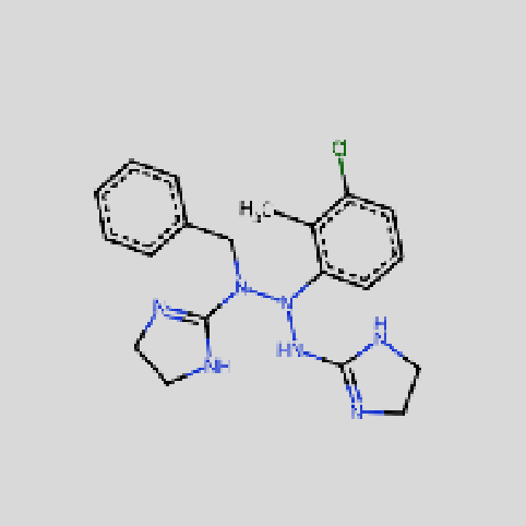 Cc1c(Cl)cccc1N(NC1=NCCN1)N(Cc1ccccc1)C1=NCCN1